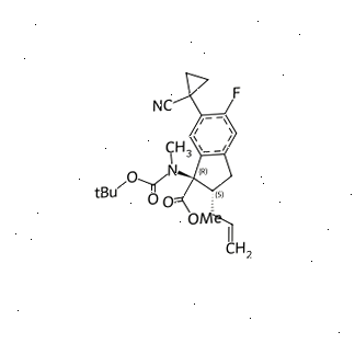 C=CC[C@H]1Cc2cc(F)c(C3(C#N)CC3)cc2[C@]1(C(=O)OC)N(C)C(=O)OC(C)(C)C